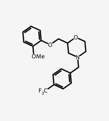 COc1ccccc1OCC1CN(Cc2ccc(C(F)(F)F)cc2)CCO1